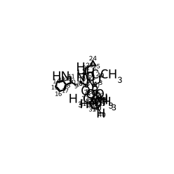 CC(C)C[C@H](NC(=O)[C@H](Cc1c[nH]c2ccccc12)NC(=O)CC1CC1)B1O[C@@H]2C[C@@H]3C[C@@H](C3(C)C)[C@]2(C)O1